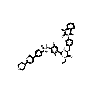 CCOC(=O)[C@H](Cc1ccc(-n2c(=O)c3ccccc3n(C)c2=O)nc1)NC(=O)c1cc(F)c(NS(=O)(=O)c2ccc(-c3cnc(C4CCOCC4)nc3)cc2)cc1F